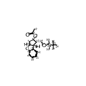 CC(=O)O[C@@H]1C[C@@H]2Oc3ccccc3[C@@H]2[C@H]1CO[Si](C)(C)C(C)(C)C